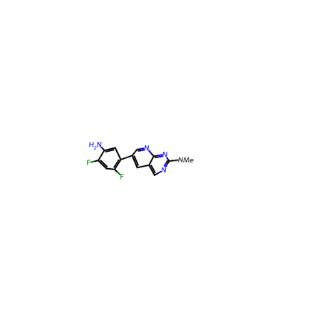 CNc1ncc2cc(-c3cc(N)c(F)cc3F)cnc2n1